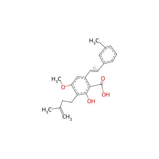 C=C(C)CCc1c(OC)cc(/C=C/c2cccc(C)c2)c(C(=O)O)c1O